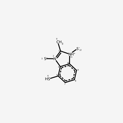 CC1=[N+]([S-])c2c(S)cccc2[NH+]1[S-]